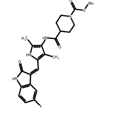 Cc1[nH]c(/C=C2\C(=O)Nc3ccc(F)cc32)c(C)c1NC(=O)C1CCN(C(=O)OC(C)(C)C)CC1